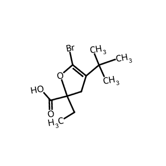 CCC1(C(=O)O)CC(C(C)(C)C)=C(Br)O1